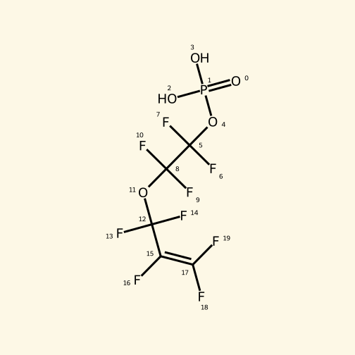 O=P(O)(O)OC(F)(F)C(F)(F)OC(F)(F)C(F)=C(F)F